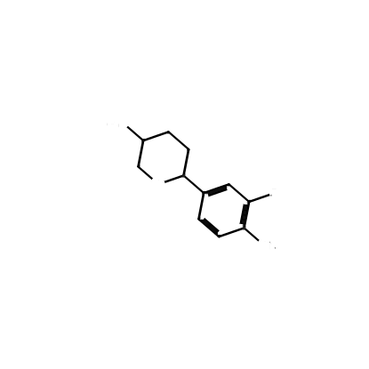 CCCCCC1CCC(c2ccc(C#N)c(F)c2)OC1